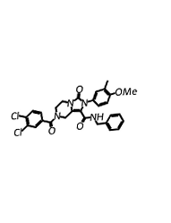 COc1ccc(-n2c(C(=O)NCc3ccccc3)c3n(c2=O)CCN(C(=O)c2ccc(Cl)c(Cl)c2)C3)cc1C